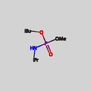 CCC(C)OP(=O)(NC(C)C)OC